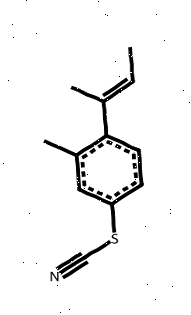 C/C=C(\C)c1ccc(SC#N)cc1C